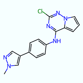 Cn1cc(-c2ccc(Nc3nc(Cl)nn4cccc34)cc2)cn1